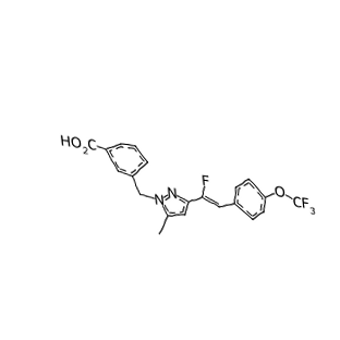 Cc1cc(C(F)=Cc2ccc(OC(F)(F)F)cc2)nn1Cc1cccc(C(=O)O)c1